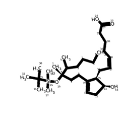 CCCCC(C)[C@](C)(CCC1=CC[C@H](O)[C@@H]1C/C=C\CCCC(=O)O)O[Si](C)(C)C(C)(C)C